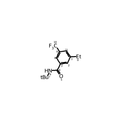 CCc1cc(C(=O)NC(C)(C)C)cc(C(F)(F)F)c1